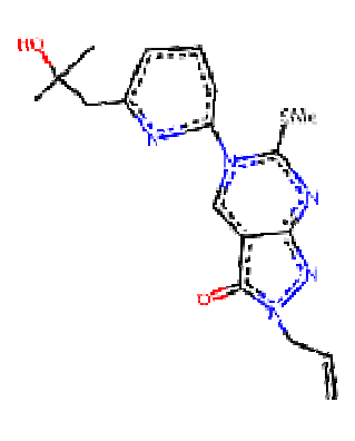 C=CCn1nc2nc(SC)n(-c3cccc(CC(C)(C)O)n3)cc-2c1=O